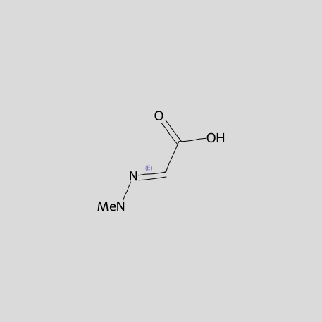 CN/N=C/C(=O)O